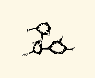 Oc1cc(-c2ccc(F)c(F)c2)n(-c2ncccc2F)n1